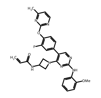 C=CC(=O)NC1CN(c2nc(Nc3ccccc3OC)ncc2-c2ccc(Oc3nccc(C)n3)c(F)c2)C1